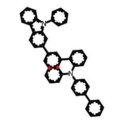 c1ccc(-c2ccc(N(c3ccccc3)c3ccccc3-c3cccc(-c4ccc5c6ccccc6n(-c6ccccc6)c5c4)c3)cc2)cc1